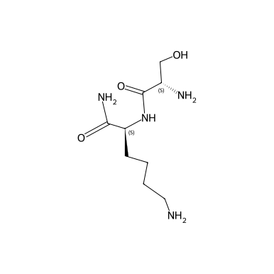 NCCCC[C@H](NC(=O)[C@@H](N)CO)C(N)=O